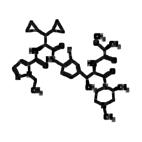 CCn1nccc1C(=O)N[C@H](C(=O)Nc1ccc([C@H](C)[C@@H](NC(=O)[C@H](C)OC)C(=O)N2CCN(C)C[C@@H]2C)cc1F)C(C1CC1)C1CC1